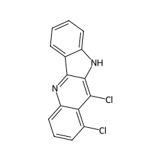 Clc1cccc2nc3c([nH]c4ccccc43)c(Cl)c12